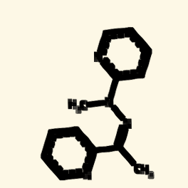 CC(=NN(C)c1ccccn1)c1ccccn1